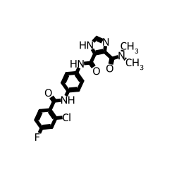 CN(C)C(=O)c1nc[nH]c1C(=O)Nc1ccc(NC(=O)c2ccc(F)cc2Cl)cc1